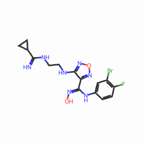 N=C(NCCNc1nonc1/C(=N/O)Nc1ccc(F)c(Br)c1)C1CC1